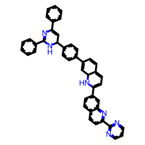 C1=CC2=CC=C(c3ccc4ccc(-c5ncccn5)nc4c3)NC2C=C1c1ccc(C2C=C(c3ccccc3)N=C(c3ccccc3)N2)cc1